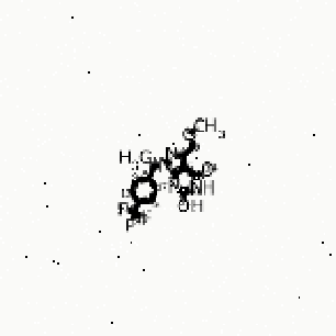 COCc1nn([C@@H](C)c2ccc(C(F)(F)F)cc2)c2nc(O)[nH]c(=O)c12